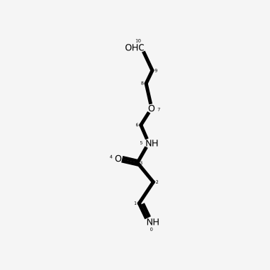 N=CCC(=O)NCOCCC=O